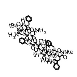 CNC(=O)C(Cc1c[nH]c2ccccc12)NC(=O)[C@H](Cc1ccccc1)NC(=O)[C@H](CO)NC(=O)[C@@H](NC(=O)[C@@H](NC(=O)[C@H](Cc1ccccc1)NC(=O)[C@H](CC(N)=O)NC(=O)[C@H](CC(N)=O)NC(=O)[C@H](Cc1ccccc1)NC(=O)OC(C)(C)C)[C@@H](C)O)C(C)C